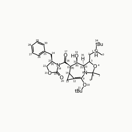 C[SiH](CC1OC(C)(C)N2C(OC(C)(C)C)=C3CC3[C@@H](C(=O)N3C(=O)OC[C@H]3Cc3ccccc3)[C@@H](O)[C@@H]12)C(C)(C)C